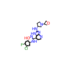 ON=C(Nc1ccc(F)c(Cl)c1)c1ccnc2nc(NC3CCN(C4COC4)C3)[nH]c12